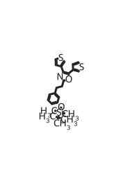 CC(C)(C)[Si](C)(C)Oc1cccc(CCc2nc(-c3ccsc3)c(-c3ccsc3)o2)c1